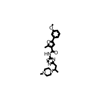 COc1cccc(-c2cc(C(=O)Nc3nc(CC(C)N4CCN(C)CC4)ns3)c(C)o2)c1